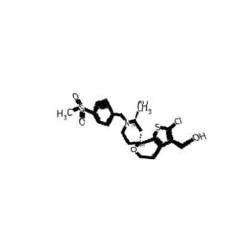 C[C@H]1C[C@@]2(CCN1Cc1ccc(S(C)(=O)=O)cc1)OCCc1c2sc(Cl)c1CO